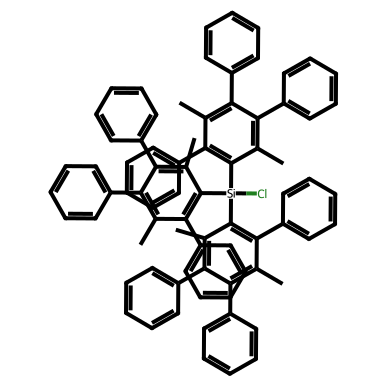 Cc1c(-c2ccccc2)c(-c2ccccc2)c(C)c([Si](Cl)(c2c(C)c(-c3ccccc3)c(-c3ccccc3)c(C)c2-c2ccccc2)c2c(C)c(-c3ccccc3)c(-c3ccccc3)c(C)c2-c2ccccc2)c1-c1ccccc1